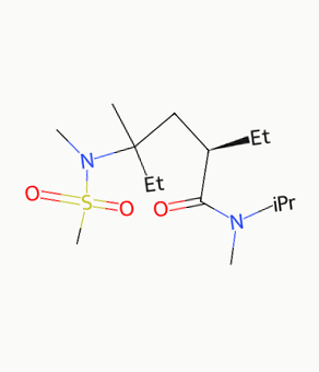 CC[C@H](CC(C)(CC)N(C)S(C)(=O)=O)C(=O)N(C)C(C)C